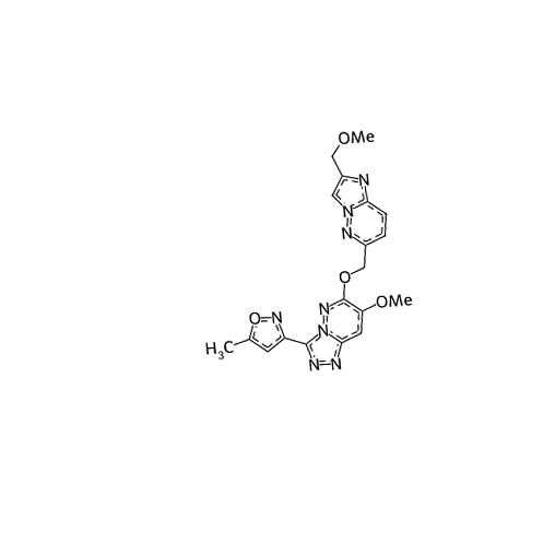 COCc1cn2nc(COc3nn4c(-c5cc(C)on5)nnc4cc3OC)ccc2n1